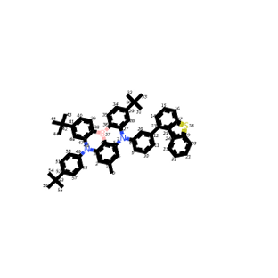 Cc1cc2c3c(c1)N(c1cccc(-c4cccc5sc6ccccc6c45)c1)c1cc(C(C)(C)C)ccc1B3c1ccc(C(C)(C)C)cc1N2c1ccc(C(C)(C)C)cc1